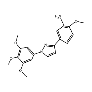 COc1ccc(-c2ccn(-c3cc(OC)c(OC)c(OC)c3)n2)cc1N